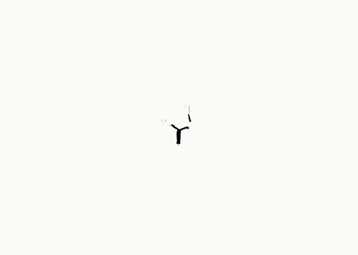 NS[C](=S)[Mo]